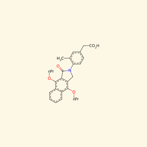 CCCOc1c2c(c(OCCC)c3ccccc13)C(=O)N(c1ccc(CC(=O)O)cc1C)C2